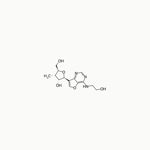 C[C@H]1[C@@H](O)[C@H](c2coc3c(NCCO)ncnc23)O[C@@H]1CO